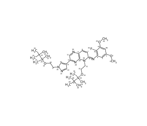 COc1cc(/N=c2\ccc3ncc(-c4cnn(CCO[Si](C)(C)C(C)(C)C)c4)nc3n2CCO[Si](C)(C)C(C)(C)C)c(F)c(OC)c1